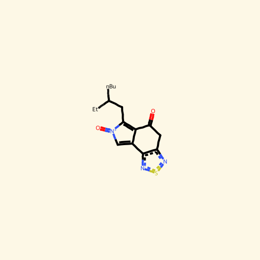 CCCCC(CC)CC1=C2C(=O)Cc3nsnc3C2=C[N+]1=O